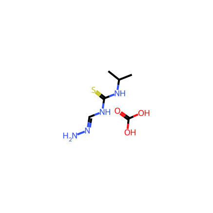 CC(C)NC(=S)NC=NN.O=C(O)O